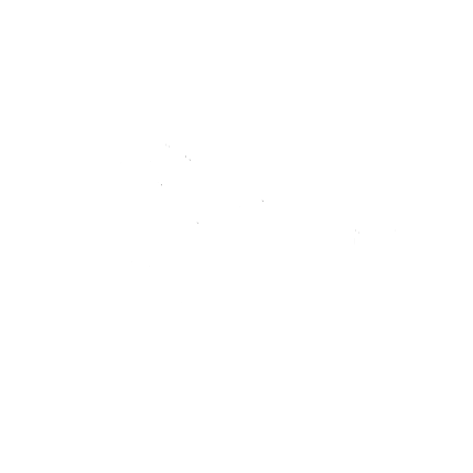 CNCCCCNC(=O)C[C@@H]1N=C(c2ccc(Cl)cc2)c2c(sc(C)c2C)-n2c(C)nnc21